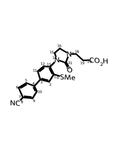 CSc1cc(-c2ccc(C#N)cc2)ccc1N1CCN(CCC(=O)O)C1=O